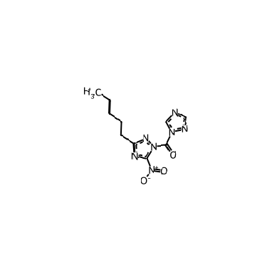 CCCCCc1nc([N+](=O)[O-])n(C(=O)n2cncn2)n1